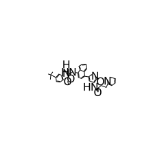 COc1ccc(C(C)(C)C)cc1NC(=O)Nc1ccc(-c2cnc3c(c2)NC(=O)C(Cc2ccccn2)O3)c2ccccc12